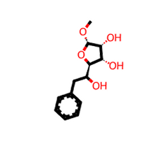 CO[C@H]1O[C@H](C(O)Cc2ccccc2)[C@@H](O)[C@H]1O